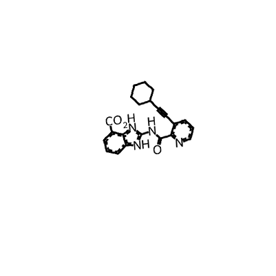 O=C(Nc1nc2c(C(=O)O)cccc2[nH]1)c1ncccc1C#CC1CCCCC1